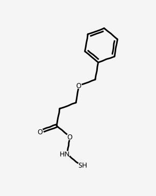 O=C(CCOCc1ccccc1)ONS